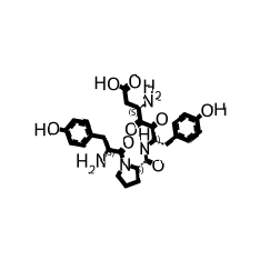 N[C@@H](CC(=O)O)C(=O)C(=O)[C@H](Cc1ccc(O)cc1)NC(=O)[C@@H]1CCCN1C(=O)[C@@H](N)Cc1ccc(O)cc1